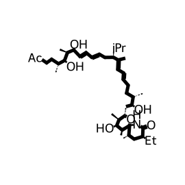 CC[C@H]1C[C@H](C)[C@@]2(NC1=O)O[C@@H](C[C@H](O)[C@@H](C)CC/C=C/C=C(\C)[C@H](C/C=C/C=C/[C@H](O)[C@H](C)[C@@H](O)[C@H](C)CCC(C)=O)C(C)C)[C@H](C)[C@H](O)[C@@H]2C